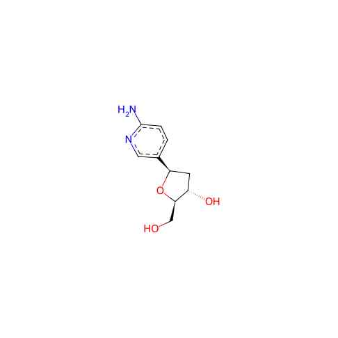 Nc1ccc([C@H]2C[C@H](O)[C@@H](CO)O2)cn1